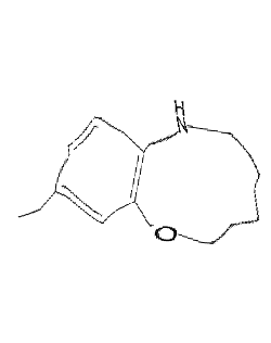 Cc1ccc2c(c1)OCCCCN2